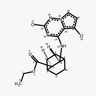 CCOC(=O)[C@@H]1C2CCC(CC2)[C@H]1Nc1nc(Cl)nn2ccc(Cl)c12